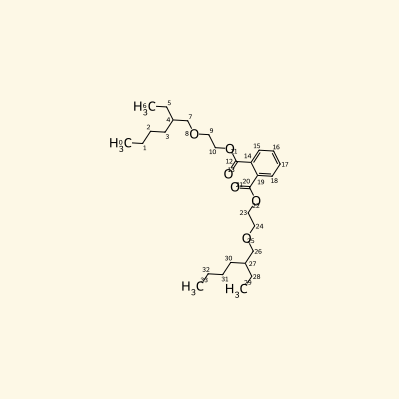 CCCCC(CC)COCCOC(=O)c1ccccc1C(=O)OCCOCC(CC)CCCC